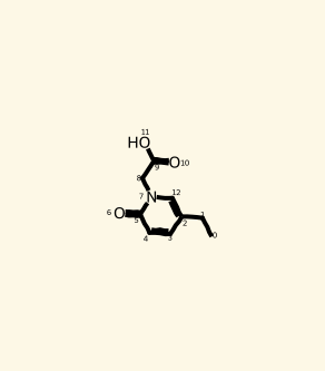 CCc1ccc(=O)n(CC(=O)O)c1